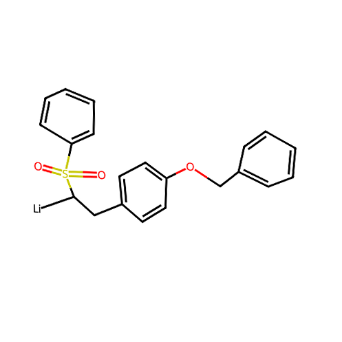 [Li][CH](Cc1ccc(OCc2ccccc2)cc1)S(=O)(=O)c1ccccc1